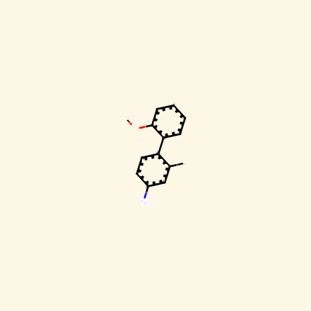 Nc1ccc(-c2ccccc2OC(F)(F)F)c(C(F)(F)F)c1